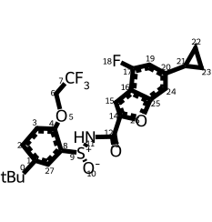 CC(C)(C)c1ccc(OCC(F)(F)F)c([S+]([O-])NC(=O)c2cc3c(F)cc(C4CC4)cc3o2)c1